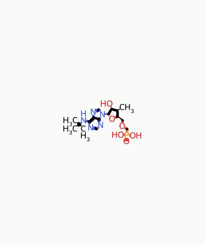 C[C@H]1[C@@H](O)[C@H](n2cnc3c(NC(C)(C)C)ncnc32)O[C@@H]1COCP(=O)(O)O